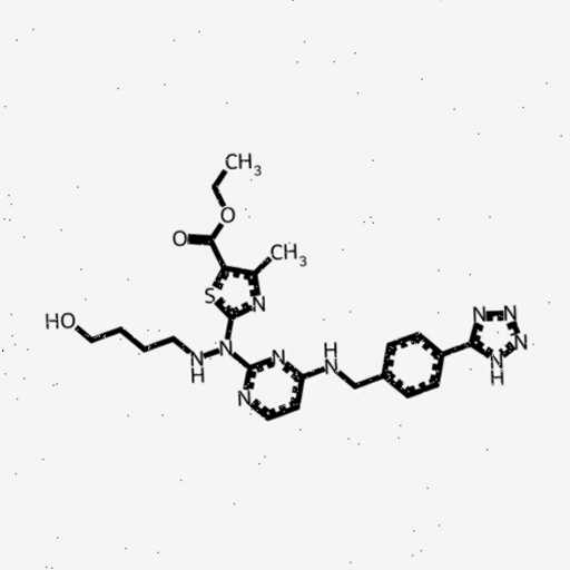 CCOC(=O)c1sc(N(NCCCCO)c2nccc(NCc3ccc(-c4nnn[nH]4)cc3)n2)nc1C